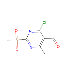 Cc1nc(S(C)(=O)=O)nc(Cl)c1[C]=O